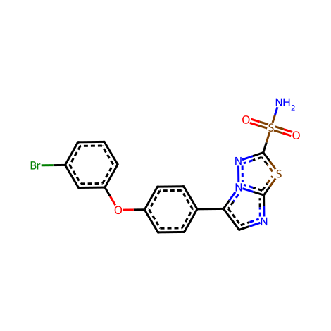 NS(=O)(=O)c1nn2c(-c3ccc(Oc4cccc(Br)c4)cc3)cnc2s1